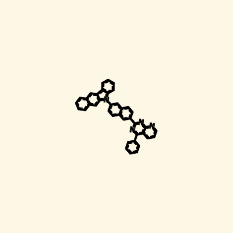 c1ccc(-c2nc(-c3ccc4cc(-n5c6ccccc6c6cc7ccccc7cc65)ccc4c3)nc3ncccc23)cc1